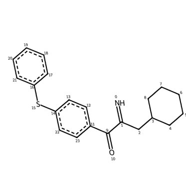 N=C(CC1CCCCC1)C(=O)c1ccc(Sc2ccccc2)cc1